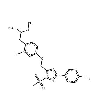 CCOC(Cc1ccc(OCc2sc(-c3ccc(C(F)(F)F)cc3)nc2S(C)(=O)=O)cc1CC)C(=O)O